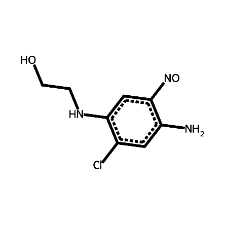 Nc1cc(Cl)c(NCCO)cc1N=O